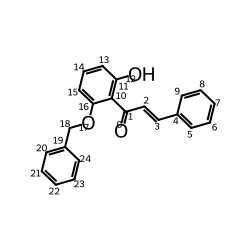 O=C(C=Cc1ccccc1)c1c(O)cccc1OCc1ccccc1